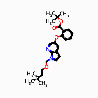 CC(C)(C)OC(=O)c1ccccc1Oc1cnc2c(ccn2COCC[Si](C)(C)C)c1